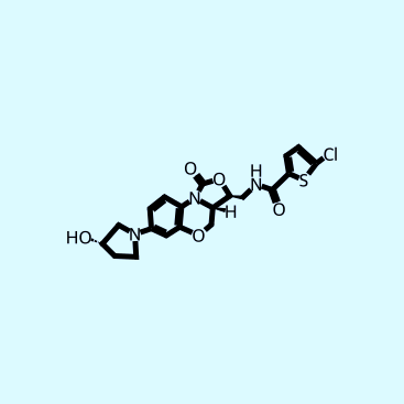 O=C(NC[C@@H]1OC(=O)N2c3ccc(N4CC[C@H](O)C4)cc3OC[C@@H]12)c1ccc(Cl)s1